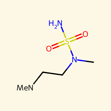 CNCCN(C)S(N)(=O)=O